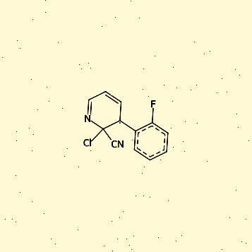 N#CC1(Cl)N=CC=C[C]1c1ccccc1F